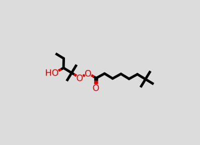 CCC(O)C(C)(C)OOC(=O)CCCCCC(C)(C)C